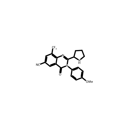 COc1ccc(-n2c(C3CCCN3)nc3c(C(F)(F)F)cc(C#N)cc3c2=O)cc1